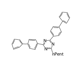 CCCCCc1nc(-c2ccc(-c3ccccc3)cc2)nc(-c2ccc(-c3ccccc3)cc2)n1